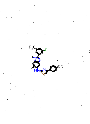 Cc1cc2c(cc1Nc1nc(-c3ccc(C#N)cc3)cs1)nc(-c1cc(F)cc(C(F)(F)F)c1)n2C